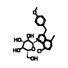 COc1ccc(Cc2cn([C@@H]3O[C@H](CO)[C@@H](O)[C@H](O)[C@H]3O)c3c(Cl)ccc(C)c23)cc1